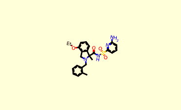 CCOc1cccc2c1CN(Cc1ccccc1C)C2(C)C(=O)NS(=O)(=O)c1cccc(N)n1